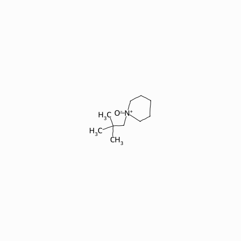 CC(C)(C)C[N+]1([O-])CCCCC1